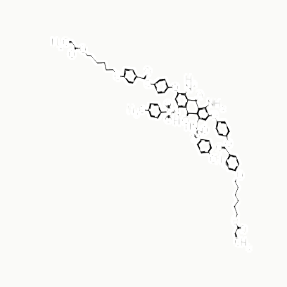 C=CC(=O)OCCCCCCOc1ccc(C(=O)Oc2ccc(Oc3cc(NS(=O)(=O)c4ccc(C)cc4)c4c(c3N)C(=O)c3c(N)c(Oc5ccc(OC(=O)c6ccc(OCCCCCCOC(=O)C=C)cc6)cc5)cc(NS(=O)(=O)c5ccc(C)cc5)c3C4=O)cc2)cc1